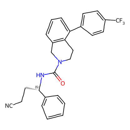 N#CCC[C@H](NC(=O)N1CCc2c(cccc2-c2ccc(C(F)(F)F)cc2)C1)c1ccccc1